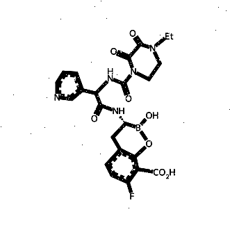 CCN1CCN(C(=O)NC(C(=O)N[C@H]2Cc3ccc(F)c(C(=O)O)c3OB2O)c2cccnc2)C(=O)C1=O